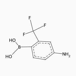 Nc1ccc(B(O)O)c(C(F)(F)F)c1